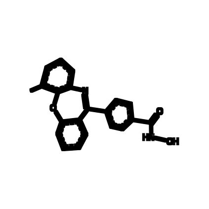 Cc1cccc2c1Oc1ccccc1C(c1ccc(C(=O)NO)cc1)=N2